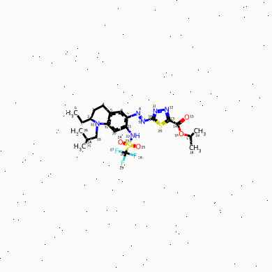 CCC1CCc2cc(N=Nc3nnc(C(=O)OC(C)C)s3)c(NS(=O)(=O)C(F)(F)F)cc2N1CC(C)C